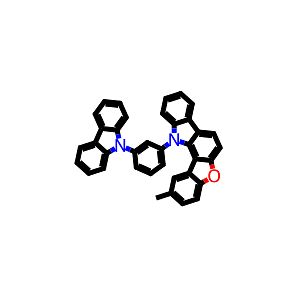 Cc1ccc2oc3ccc4c5ccccc5n(-c5cccc(-n6c7ccccc7c7ccccc76)c5)c4c3c2c1